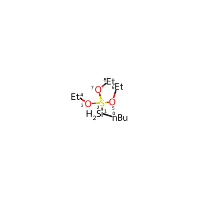 CCCC[SiH2]S(OCC)(OCC)OCC